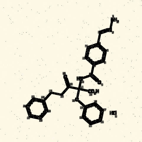 Cl.NN=Cc1ccc(C(=O)NC(Oc2ccccc2)(C(=O)O)C(=O)CCc2ccccc2)cc1